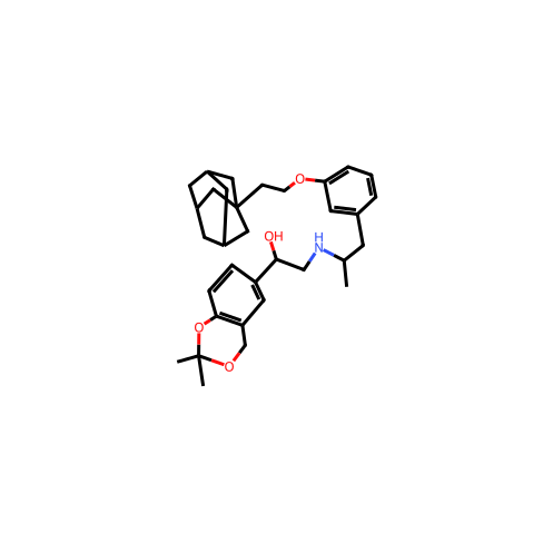 CC(Cc1cccc(OCCC23CC4CC(CC(C4)C2)C3)c1)NCC(O)c1ccc2c(c1)COC(C)(C)O2